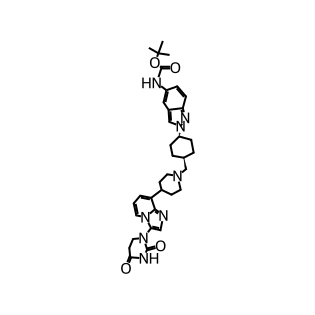 CC(C)(C)OC(=O)Nc1ccc2nn([C@H]3CC[C@H](CN4CCC(c5cccn6c(N7CCC(=O)NC7=O)cnc56)CC4)CC3)cc2c1